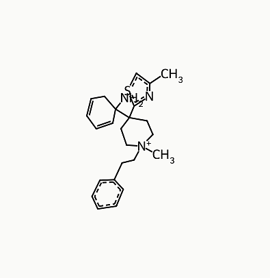 Cc1csc(C2(C3(N)C=CC=CC3)CC[N+](C)(CCc3ccccc3)CC2)n1